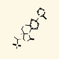 CC([C@@H]1OC(=O)N2c3ccc(-n4ccoc4=O)cc3OC[C@@H]12)S(=O)(=O)O